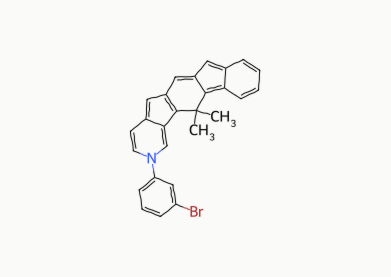 CC1(C)C2=c3ccccc3=CC2=Cc2cc3ccn(-c4cccc(Br)c4)cc-3c21